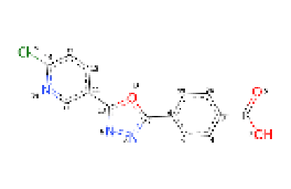 O=C(O)c1ccc(-c2nnc(-c3ccc(Cl)nc3)o2)cc1